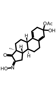 CC(=O)OC1(O)C=C2CC[C@@H]3[C@H](CC[C@]4(C)C(=O)/C(=N\O)C[C@@H]34)C2=CC1